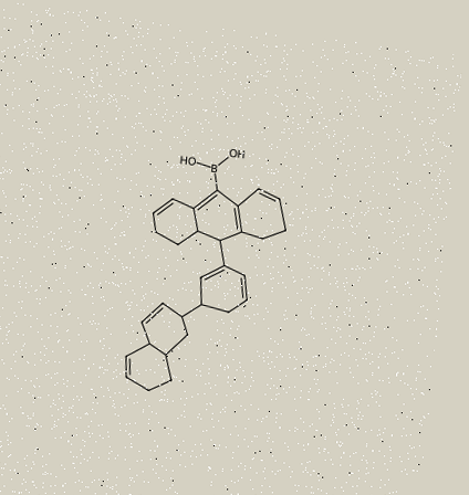 OB(O)C1=C2C=CCCC2C(C2=CC(C3C=CC4C=CCCC4C3)CC=C2)C2=C1C=CCC2